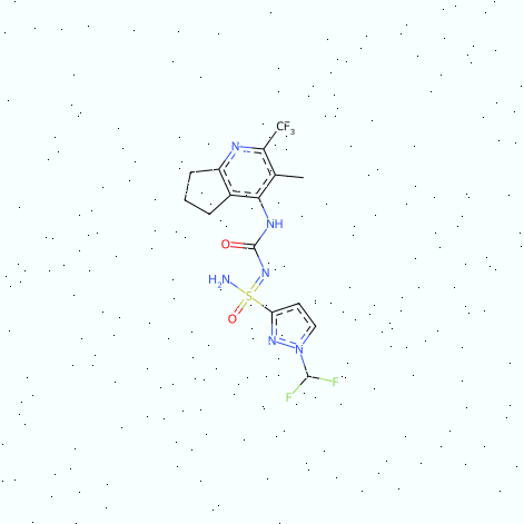 Cc1c(C(F)(F)F)nc2c(c1NC(=O)N=S(N)(=O)c1ccn(C(F)F)n1)CCC2